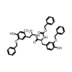 O=C(N[C@@H](Cc1ccc(O)c(OCc2ccccc2)c1)C(=O)N[C@@H](Cc1ccc(O)c(OCc2ccccc2)c1)C(=O)O)OCc1ccccc1